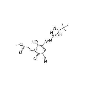 COC(=O)CCn1c(O)c(N=Nc2nnc(C(C)(C)C)[nH]2)cc(C#N)c1=O